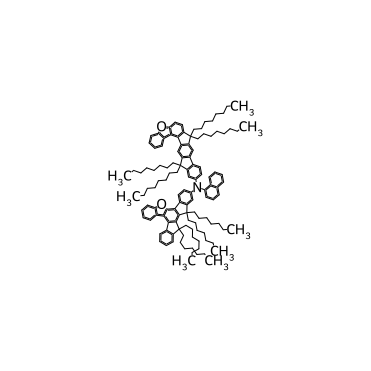 CCCCCCCCC1(CCCCCCCC)c2cc(N(c3ccc4c(c3)C(CCCCCCC)(CCCCCCC)c3c5c(c6c(oc7ccccc76)c3-4)-c3ccccc3C5(CCCCCCC)CCCCCCC)c3cccc4ccccc34)ccc2-c2cc3c(cc21)-c1c(ccc2oc4ccccc4c12)C3(CCCCCCCC)CCCCCCCC